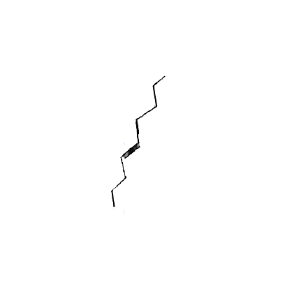 OCC/C=C/CCCBr